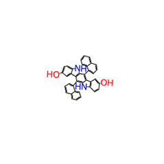 Oc1ccc2[nH]c3c(-c4cccc5ccccc45)c4c([nH]c5ccc(O)cc54)c(-c4cccc5ccccc45)c3c2c1